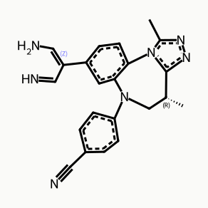 Cc1nnc2n1-c1ccc(/C(C=N)=C/N)cc1N(c1ccc(C#N)cc1)C[C@H]2C